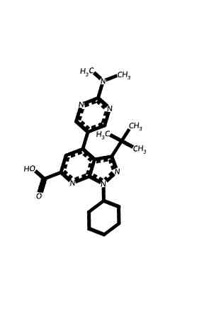 CN(C)c1ncc(-c2cc(C(=O)O)nc3c2c(C(C)(C)C)nn3C2CCCCC2)cn1